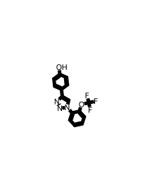 Oc1ccc(-c2cn(-c3ccccc3OC(F)(F)F)nn2)cc1